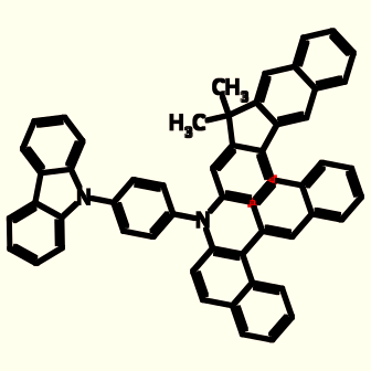 CC1(C)c2cc(N(c3ccc(-n4c5ccccc5c5ccccc54)cc3)c3ccc4ccccc4c3-c3ccc4ccccc4c3)ccc2-c2cc3ccccc3cc21